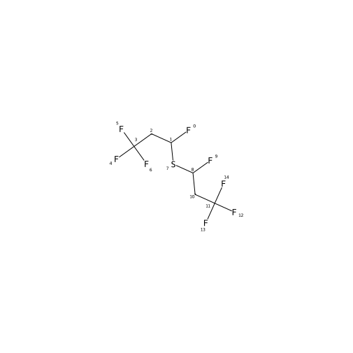 FC(CC(F)(F)F)SC(F)CC(F)(F)F